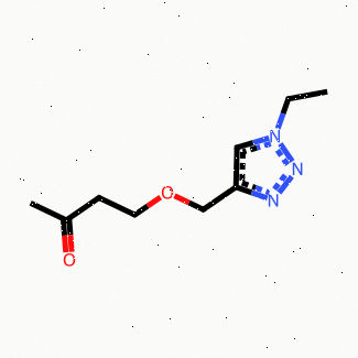 CCn1cc(COCCC(C)=O)nn1